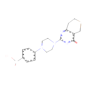 O=c1[nH]c(N2CCN(c3ccc(B(O)O)cc3)CC2)nc2c1CSCC2